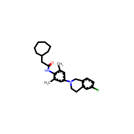 Cc1cc(N2CCc3cc(F)ccc3C2)cc(C)c1NC(=O)CC1CCCCCC1